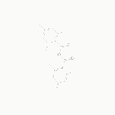 Cc1cc(C)c(C(=O)OC(=O)c2c(C)cc(C)cc2C)c(C)c1